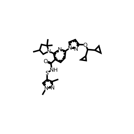 Cc1nn(C)cc1SNC(=O)c1ccc(-n2ccc(OC(C3CC3)C3CC3)n2)nc1N1CC(C)CC1(C)C